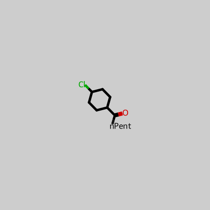 [CH2]CCCCC(=O)C1CCC(Cl)CC1